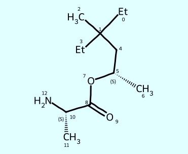 CCC(C)(CC)C[C@H](C)OC(=O)[C@H](C)N